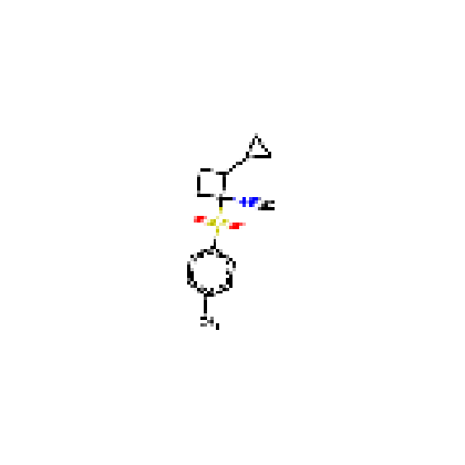 [C-]#[N+]C1(S(=O)(=O)c2ccc(C)cc2)CCC1C1CC1